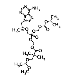 COC(C)OCC(C)(C)C(=O)OCOP(=O)(CO[C@H](C)Cn1cnc2c(N)ncnc21)OCOC(=O)OC(C)C